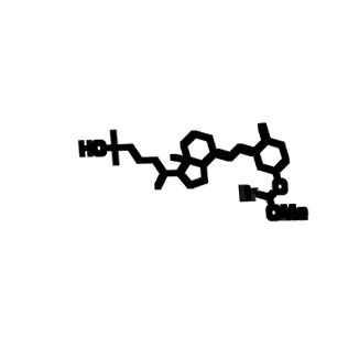 C=C1CCC(OC(Br)OC)CC1=CC=C1CCCC2(C)C1CCC2C(C)CCCC(C)(C)O